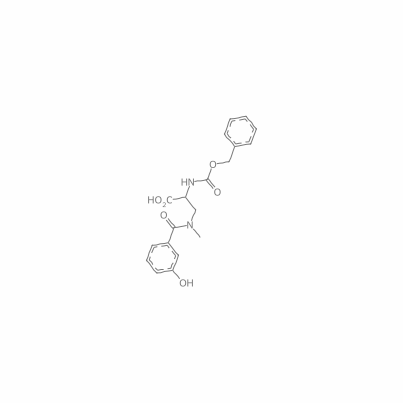 CN(CC(NC(=O)OCc1ccccc1)C(=O)O)C(=O)c1cccc(O)c1